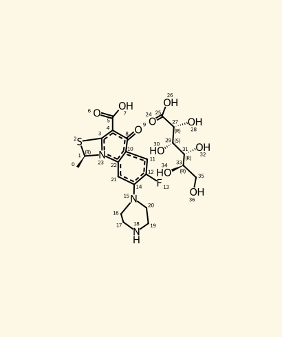 C[C@H]1Sc2c(C(=O)O)c(=O)c3cc(F)c(N4CCNCC4)cc3n21.O=C(O)[C@H](O)[C@@H](O)[C@H](O)[C@H](O)CO